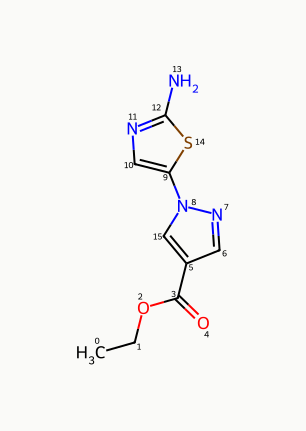 CCOC(=O)c1cnn(-c2cnc(N)s2)c1